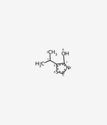 CC(C)c1s[c]nc1O